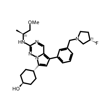 COC[C@H](C)Nc1ncc2c(-c3cccc(CN4CC[C@H](F)C4)c3)cc([C@H]3CC[C@H](O)CC3)n2n1